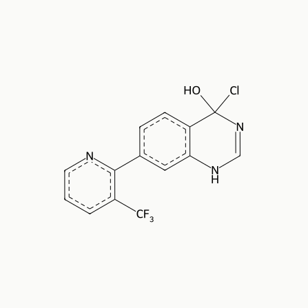 OC1(Cl)N=CNc2cc(-c3ncccc3C(F)(F)F)ccc21